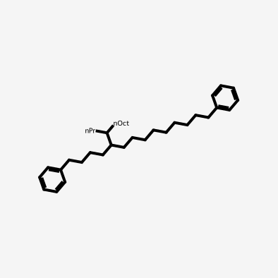 [CH2]CCC(CCCCCCCC)C(CCCCCCCCCc1ccccc1)CCCCc1ccccc1